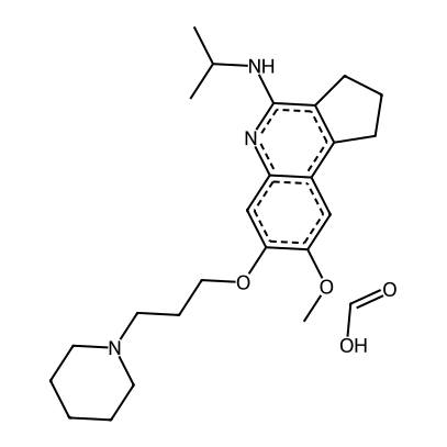 COc1cc2c3c(c(NC(C)C)nc2cc1OCCCN1CCCCC1)CCC3.O=CO